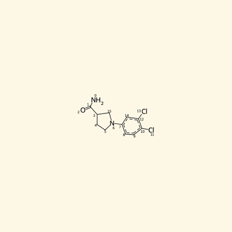 NC(=O)C1CCN(c2ccc(Cl)c(Cl)c2)C1